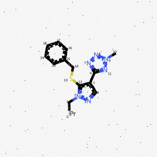 CC(C)Cn1ncc(-c2nnn(C)n2)c1SCc1ccccc1